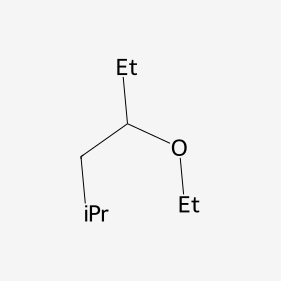 [CH2]CC(CC(C)C)OCC